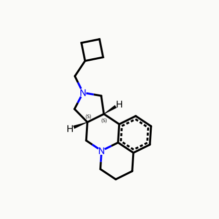 c1cc2c3c(c1)[C@H]1CN(CC4CCC4)C[C@H]1CN3CCC2